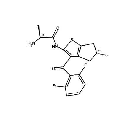 C[C@H]1Cc2sc(NC(=O)[C@H](C)N)c(C(=O)c3c(F)cccc3F)c2C1